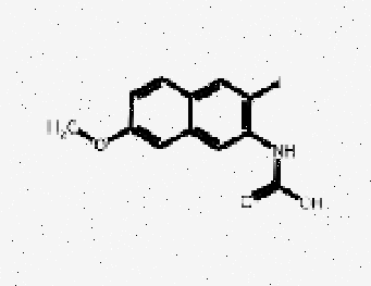 COc1ccc2cc(I)c(NC(=O)O)cc2c1